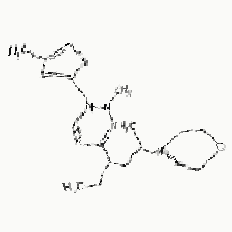 CCC(CC(C)N1CCOCC1)C1=NN(C)N(c2cc(C)cs2)C=C1